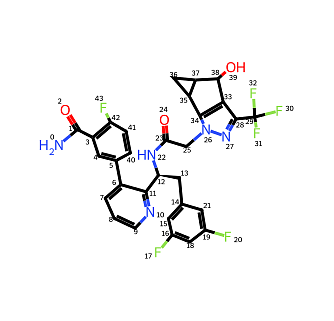 NC(=O)c1cc(-c2cccnc2[C@H](Cc2cc(F)cc(F)c2)NC(=O)Cn2nc(C(F)(F)F)c3c2C2CC2C3O)ccc1F